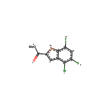 COC(=O)c1cc2c(Br)c(F)cc(F)c2s1